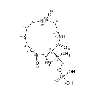 CC(C)(COP(=O)(O)O)[C@H]1OC(=O)CCSCCNC(=O)CCNC1=O